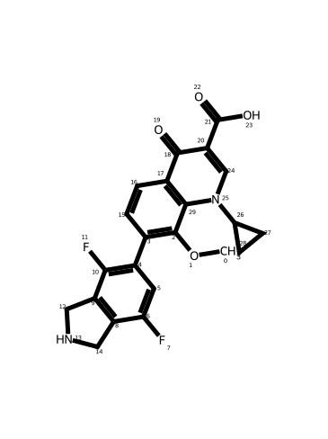 COc1c(-c2cc(F)c3c(c2F)CNC3)ccc2c(=O)c(C(=O)O)cn(C3CC3)c12